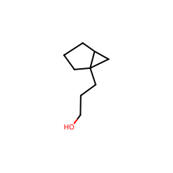 OCCCC12CCCC1C2